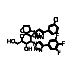 OC[C@H]1O[C@]2(OCC[C@H]2n2cc(-c3cccc(Cl)c3)nn2)[C@H](O)[C@@H](n2cc(-c3cc(F)c(F)c(F)c3)nn2)[C@H]1O